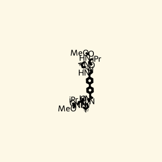 COC(=O)NC(C(=O)N1C[C@H](C)C[C@H]1c1ncc(-c2ccc(-c3ccc(-c4cnc([C@@H]5C[C@@H](C)CN5C(=O)C(NC(=O)OC)C(C)C)[nH]4)cc3)cc2)[nH]1)C(C)C